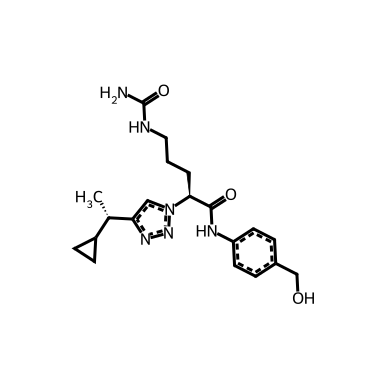 C[C@H](c1cn([C@@H](CCCNC(N)=O)C(=O)Nc2ccc(CO)cc2)nn1)C1CC1